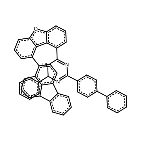 c1ccc(-c2ccc(C3=NC(c4ccccc4)NC(c4cccc5oc6cccc(-c7ccc8c9c(cccc79)-c7ccccc7-8)c6c45)=N3)cc2)cc1